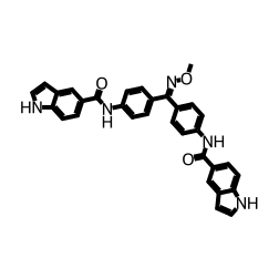 CON=C(c1ccc(NC(=O)c2ccc3[nH]ccc3c2)cc1)c1ccc(NC(=O)c2ccc3[nH]ccc3c2)cc1